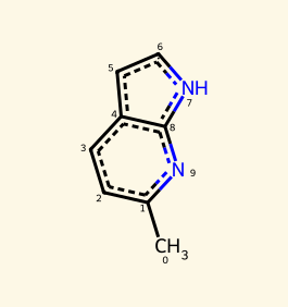 Cc1ccc2c[c][nH]c2n1